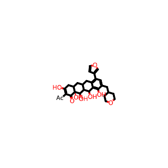 CC(=O)C1=C(O)CC2CC3Cc4c(-c5ccoc5)cc(CC5CCOCC5)c(O)c4C(O)C3C(O)[C@]2(O)C1=O